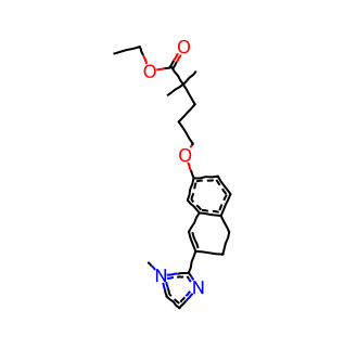 CCOC(=O)C(C)(C)CCCOc1ccc2c(c1)C=C(c1nccn1C)CC2